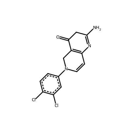 NC1=NC2=C(CN(c3ccc(Cl)c(Cl)c3)C=C2)C(=O)C1